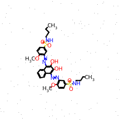 CCCCNS(=O)(=O)c1ccc(OC)c(N=Nc2c(O)c(O)c(N=Nc3cc(S(=O)(=O)NCCCC)ccc3OC)c3ccccc23)c1